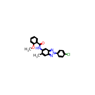 COc1ccccc1C(=O)Nc1cc2nn(-c3ccc(Cl)cc3)nc2cc1C